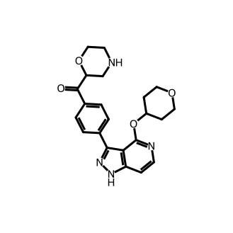 O=C(c1ccc(-c2n[nH]c3ccnc(OC4CCOCC4)c23)cc1)C1CNCCO1